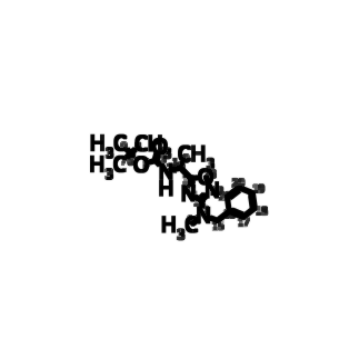 C[C@H](NC(=O)OC(C)(C)C)c1nc(N(C)Cc2ccccc2)no1